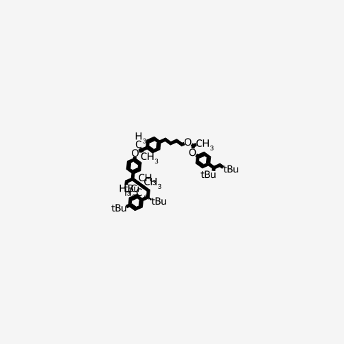 CC(OCCCCc1ccc(C(C)(C)Oc2ccc(C(CC(C)(C)C)C(C)(C)C(C)(C)C[C@H](c3ccc(C(C)(C)C)cc3)C(C)(C)C)cc2)cc1)Oc1ccc(C(CC(C)(C)C)C(C)(C)C)cc1